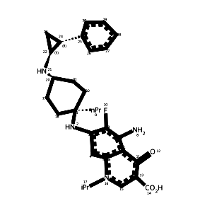 CCC[C@]1(Nc2cc3c(c(N)c2F)c(=O)c(C(=O)O)cn3C(C)C)CC[C@H](N[C@H]2C[C@@H]2c2ccccc2)CC1